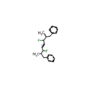 CC(Cc1ccccc1)C(F)/C=C/C(F)C(C)Cc1ccccc1